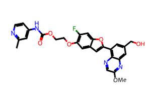 COc1cnc2c(-c3cc4cc(OCCOC(=O)Nc5ccnc(C)c5)c(F)cc4o3)cc(CO)cc2n1